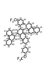 FC(F)(F)Oc1ccc(-c2ccc3c(-c4cc5ccccc5c5ccccc45)c4cc(-c5cccc(C(F)(F)F)c5)cc(-c5cc6ccccc6c6ccccc56)c4cc3c2)cc1